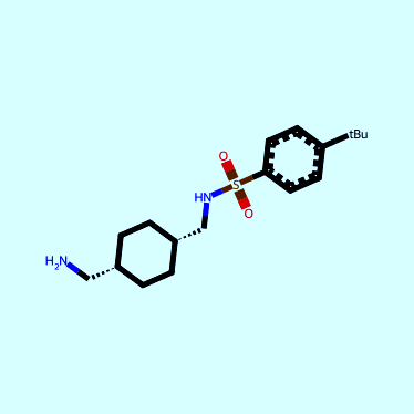 CC(C)(C)c1ccc(S(=O)(=O)NC[C@H]2CC[C@@H](CN)CC2)cc1